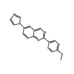 COc1ccc(-c2ncc3cc(-n4ccnc4)ccc3n2)cc1